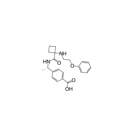 C[C@H](NC(=O)C1(NCCOc2ccccc2)CCC1)c1ccc(C(=O)O)cc1